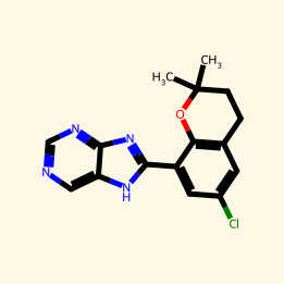 CC1(C)CCc2cc(Cl)cc(-c3nc4ncncc4[nH]3)c2O1